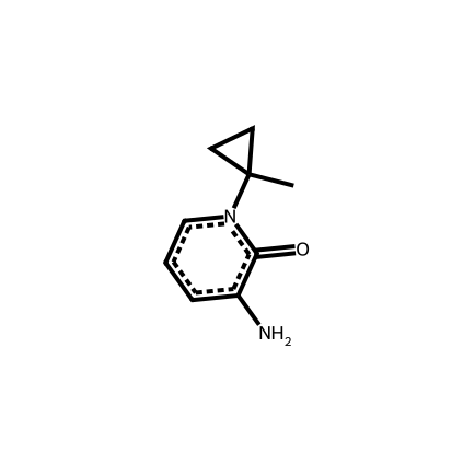 CC1(n2cccc(N)c2=O)CC1